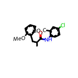 COc1ccccc1CC(C)C(=O)Nc1ccc(Cl)cc1C(=O)O